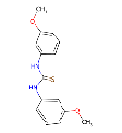 COc1cccc(NC(=S)Nc2cccc(OC)c2)c1